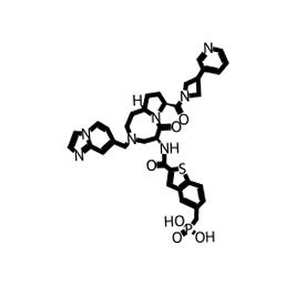 O=C(N[C@H]1CN(Cc2ccn3ccnc3c2)CC[C@H]2CC[C@@H](C(=O)N3CC(c4cccnc4)C3)N2C1=O)c1cc2cc(CP(=O)(O)O)ccc2s1